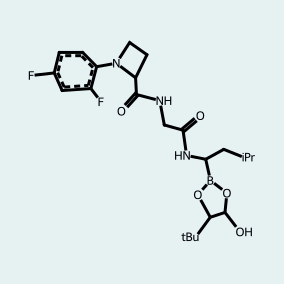 CC(C)CC(NC(=O)CNC(=O)C1CCN1c1ccc(F)cc1F)B1OC(O)C(C(C)(C)C)O1